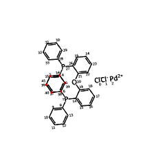 [Cl-].[Cl-].[Pd+2].c1ccc(P(c2ccccc2)c2ccccc2Oc2ccccc2P(c2ccccc2)c2ccccc2)cc1